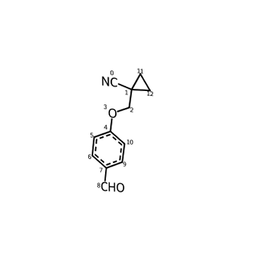 N#CC1(COc2ccc(C=O)cc2)CC1